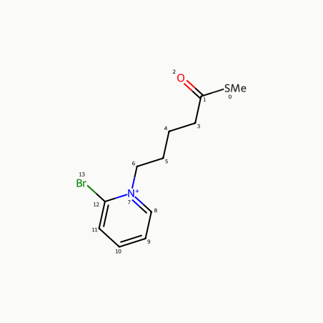 CSC(=O)CCCC[n+]1ccccc1Br